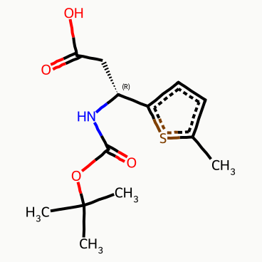 Cc1ccc([C@@H](CC(=O)O)NC(=O)OC(C)(C)C)s1